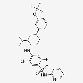 CN(C)[C@H]1C[C@@H](c2cccc(OC(F)(F)F)c2)CC[C@@H]1Nc1cc(F)c(S(=O)(=O)Nc2ccncn2)cc1Cl